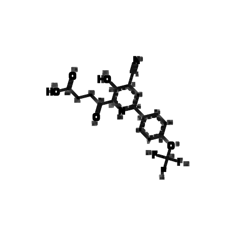 N#Cc1cc(-c2ccc(OC(F)(F)F)cc2)nc(C(=O)CCC(=O)O)c1O